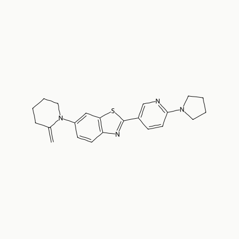 C=C1CCCCN1c1ccc2nc(-c3ccc(N4CCCC4)nc3)sc2c1